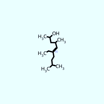 CC/C(=C\C(C)CC(C)O)CCC(C)C